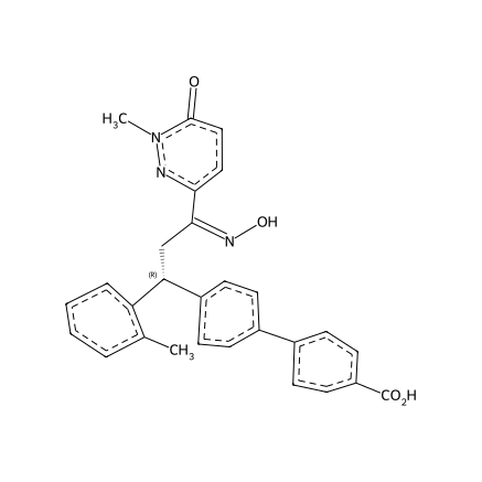 Cc1ccccc1[C@H](CC(=NO)c1ccc(=O)n(C)n1)c1ccc(-c2ccc(C(=O)O)cc2)cc1